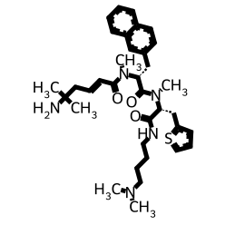 CN(C)CCCCNC(=O)[C@@H](Cc1cccs1)N(C)C(=O)[C@@H](Cc1ccc2ccccc2c1)N(C)C(=O)C=CCC(C)(C)N